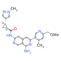 COCc1cc(C)c(-c2cc3cc(NC(=O)[C@H]4C[C@@H]4c4cnn(C)c4)ncc3c(N)n2)cn1